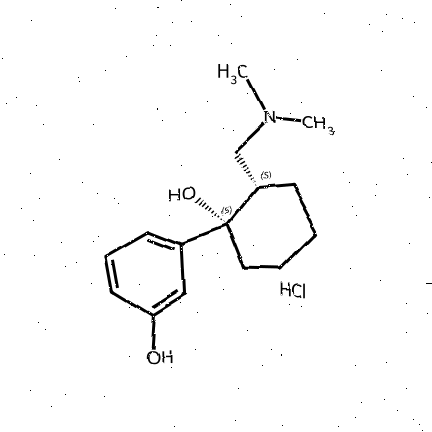 CN(C)C[C@@H]1CCCC[C@@]1(O)c1cccc(O)c1.Cl